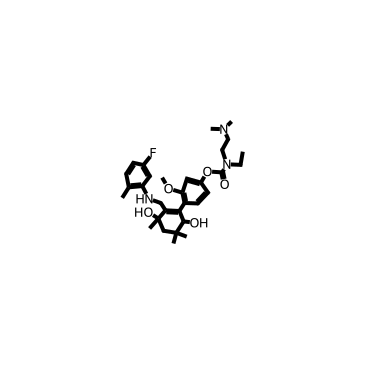 CCN(CCN(C)C)C(=O)Oc1ccc(C2=C(CNc3cc(F)ccc3C)C(C)(O)CC(C)(C)C2O)c(OC)c1